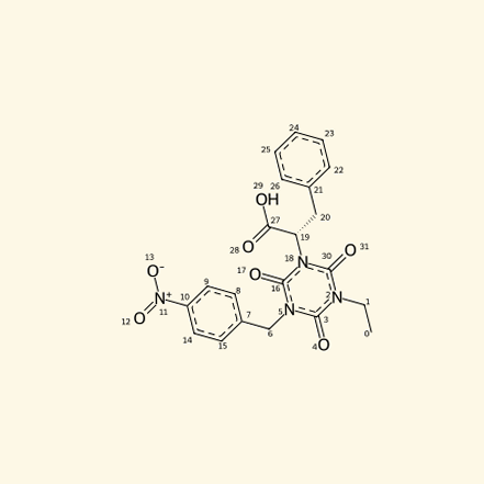 CCn1c(=O)n(Cc2ccc([N+](=O)[O-])cc2)c(=O)n([C@@H](Cc2ccccc2)C(=O)O)c1=O